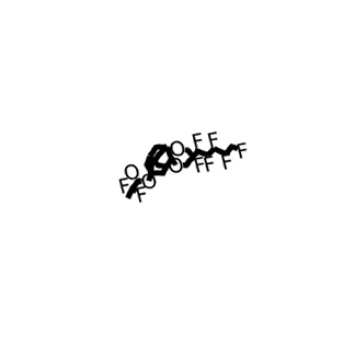 CC(F)(F)C(=O)OC12CC3CC(C1)C1(OCC(F)(C(F)C(F)C(F)C(F)CF)CO1)C(C3)C2